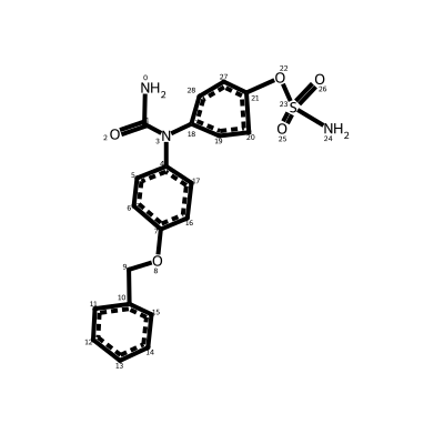 NC(=O)N(c1ccc(OCc2ccccc2)cc1)c1ccc(OS(N)(=O)=O)cc1